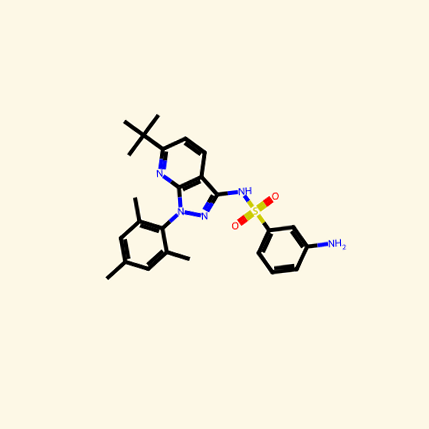 Cc1cc(C)c(-n2nc(NS(=O)(=O)c3cccc(N)c3)c3ccc(C(C)(C)C)nc32)c(C)c1